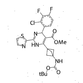 COC(=O)C1=C(C23CC(NC(=O)OC(C)(C)C)(C2)C3)NC(c2nccs2)=NC1c1ccc(F)c(F)c1Cl